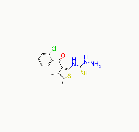 Cc1sc(NC(S)NN)c(C(=O)c2ccccc2Cl)c1C